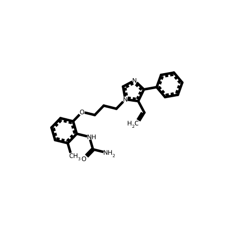 C=Cc1c(-c2ccccc2)ncn1CCCOc1cccc(C)c1NC(N)=O